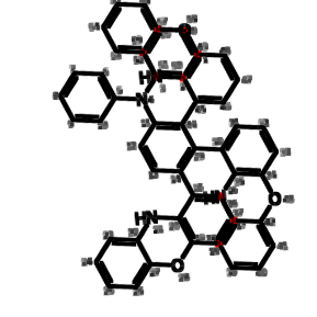 c1ccc(N(c2ccccc2)c2ccc(-c3cccc4c3Nc3ccccc3O4)c(-c3cccc4c3Nc3ccccc3O4)c2-c2cccc3c2Nc2ccccc2O3)cc1